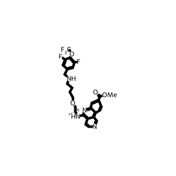 COC(=O)c1ccc2c(c1)nc(N[C@H](C)COCCCCNCc1cc(F)c(OC(F)(F)F)c(F)c1)c1ccncc12